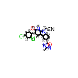 Cc1noc(-c2ccc3c(c2)c2cc(-c4ccc(Cl)cc4Cl)c(=O)n(C)c2n3CC#N)n1